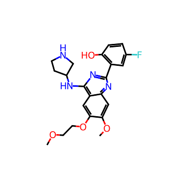 COCCOc1cc2c(NC3CCNC3)nc(-c3cc(F)ccc3O)nc2cc1OC